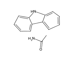 CC(N)=O.c1ccc2c(c1)[nH]c1ccccc12